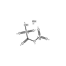 O=C(O[SH](=O)=O)S(=O)(=O)O.[KH]